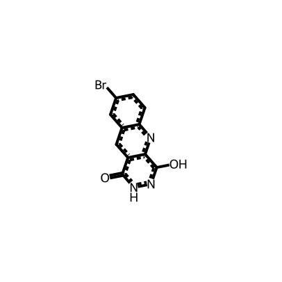 O=c1[nH]nc(O)c2nc3ccc(Br)cc3cc12